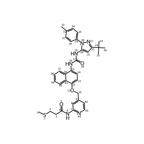 CSCCC(=O)Nc1cc(COc2ccc(NC(=O)Nc3cc(C(C)(C)C)nn3-c3ccc(C)cc3)c3ccccc23)ccn1